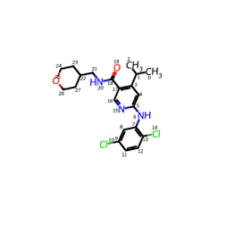 CC(C)c1cc(Nc2cc(Cl)ccc2Cl)ncc1C(=O)NCC1CCOCC1